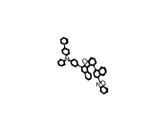 c1ccc(-c2ccc(N(c3ccccc3)c3ccc(-c4cc5ccccc5c5c4oc4cccc(-c6ccc(-c7nc8ccccc8o7)c7ccccc67)c45)cc3)cc2)cc1